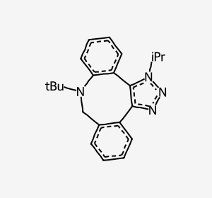 CC(C)n1nnc2c1-c1ccccc1N(C(C)(C)C)Cc1ccccc1-2